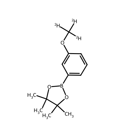 [2H]C([2H])([2H])Oc1cccc(B2OC(C)(C)C(C)(C)O2)c1